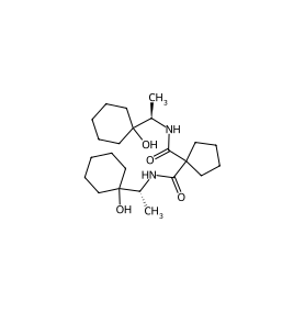 C[C@@H](NC(=O)C1(C(=O)N[C@H](C)C2(O)CCCCC2)CCCC1)C1(O)CCCCC1